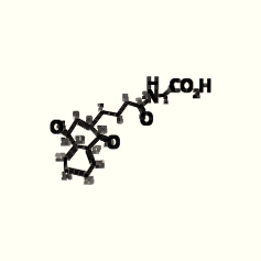 O=C(O)CNC(=O)CCCC1=CC(=O)c2ccccc2C1=O